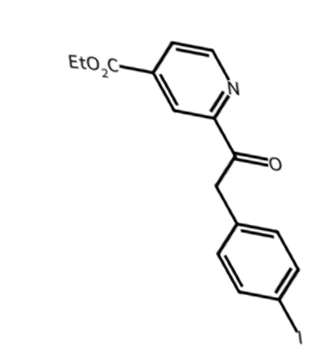 CCOC(=O)c1ccnc(C(=O)Cc2ccc(I)cc2)c1